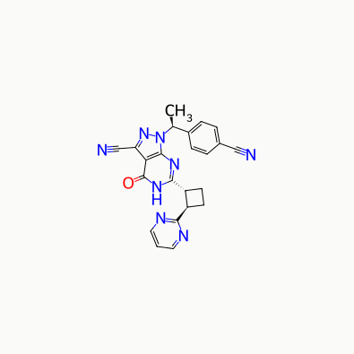 C[C@@H](c1ccc(C#N)cc1)n1nc(C#N)c2c(=O)[nH]c([C@@H]3CC[C@H]3c3ncccn3)nc21